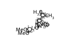 COc1ccc(CCOc2nc(N3CCOCC3)c3cc(-c4cc(C)cc(C)c4)ccc3n2)cc1OC